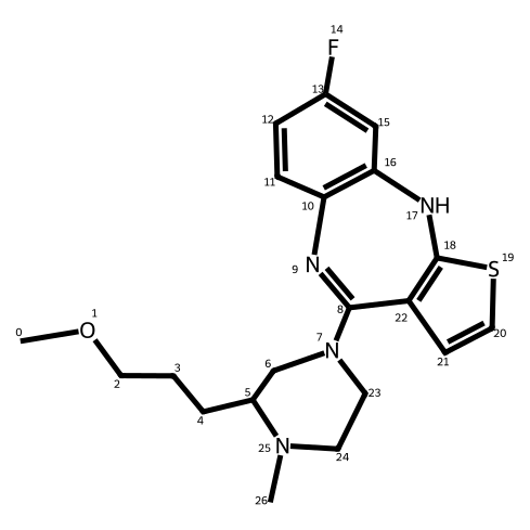 COCCCC1CN(C2=Nc3ccc(F)cc3Nc3sccc32)CCN1C